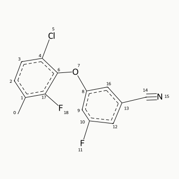 Cc1ccc(Cl)c(Oc2cc(F)cc(C#N)c2)c1F